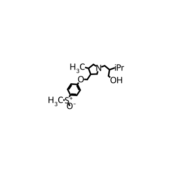 CC(C)C(CO)CN1CC(C)C(COc2ccc([S+](C)[O-])cc2)C1